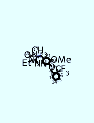 CCN1C(=N)/C(=C\c2ccc(OCc3ccccc3C(F)(F)F)c(OC)c2)N(C)C1=O